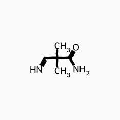 CC(C)(C=N)C(N)=O